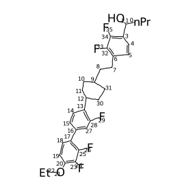 CCCC(O)c1ccc(CCC2CCC(c3ccc(-c4ccc(OCC)c(F)c4F)cc3F)CC2)c(F)c1F